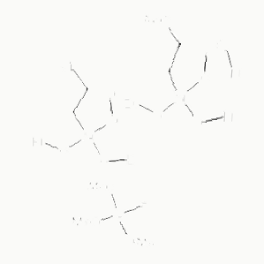 CCO[Si](CCCl)(OCC)OCC.CCO[Si](CCOC(C)=O)(OCC)OCC.CC[Si](OC)(OC)OC.[CH2]CCl